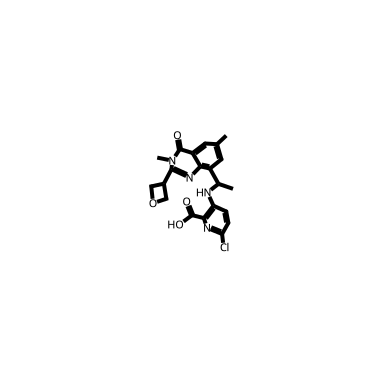 Cc1cc(C(C)Nc2ccc(Cl)nc2C(=O)O)c2nc(C3COC3)n(C)c(=O)c2c1